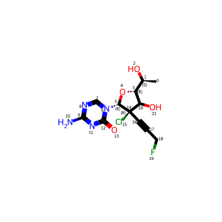 C[C@H](O)[C@H]1O[C@@H](n2cnc(N)nc2=O)[C@@](Cl)(C#CCF)C1O